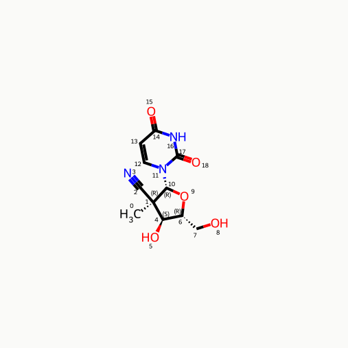 C[C@@]1(C#N)[C@H](O)[C@@H](CO)O[C@H]1n1ccc(=O)[nH]c1=O